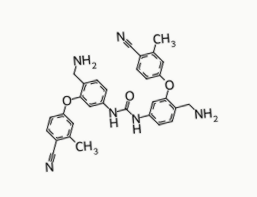 Cc1cc(Oc2cc(NC(=O)Nc3ccc(CN)c(Oc4ccc(C#N)c(C)c4)c3)ccc2CN)ccc1C#N